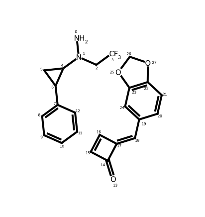 NN(CC(F)(F)F)C1CC1c1ccccc1.O=C1C=CC1=Cc1ccc2c(c1)OCO2